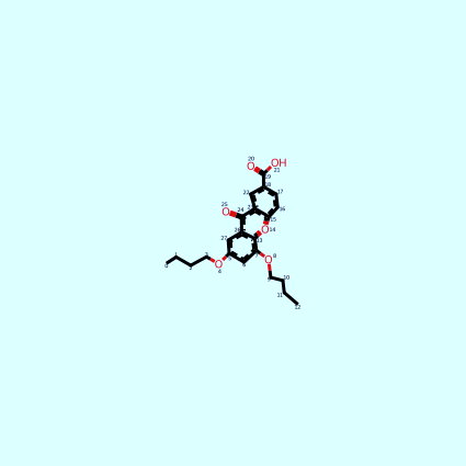 CCCCOc1cc(OCCCC)c2oc3ccc(C(=O)O)cc3c(=O)c2c1